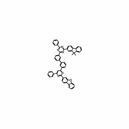 CC1(C)c2ccccc2-c2ccc(-c3nc(-c4ccccc4)nc(-c4cccc(-c5cccc(-c6cc(-c7ccccc7)nc(-c7ccc8c(c7)oc7ccccc78)n6)c5)c4)n3)cc21